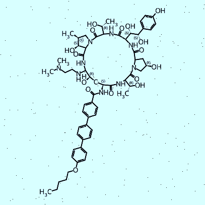 CCCCCOc1ccc(-c2ccc(-c3ccc(C(=O)N[C@H]4C[C@@H](O)C(NCCN(C)C)NC(=O)C5[C@@H](O)[C@@H](C)CN5C(=O)C([C@@H](C)O)NC(=O)C([C@H](O)[C@@H](O)c5ccc(O)cc5)NC(=O)C5C[C@@H](O)CN5C(=O)C([C@@H](C)O)NC4=O)cc3)cc2)cc1